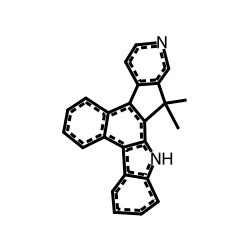 CC1(C)c2cnccc2-c2c1c1[nH]c3ccccc3c1c1ccccc21